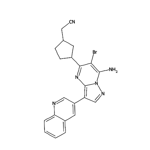 N#CCC1CCC(c2nc3c(-c4cnc5ccccc5c4)cnn3c(N)c2Br)C1